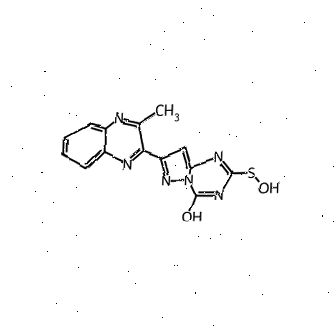 Cc1nc2ccccc2nc1-c1cc2nc(SO)nc(O)n2n1